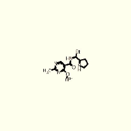 CCCOc1nc(C)ncc1C(=O)NC(CC)C1CCCN1